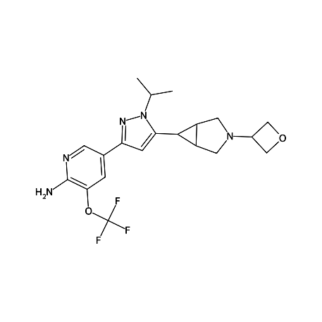 CC(C)n1nc(-c2cnc(N)c(OC(F)(F)F)c2)cc1C1C2CN(C3COC3)CC21